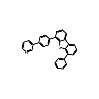 c1ccc(-c2cccc3c2sc2c(-c4ccc(-c5cccnc5)cc4)cccc23)cc1